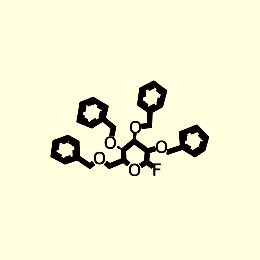 FC1OC(COCc2ccccc2)[C@H](OCc2ccccc2)[C@@H](OCc2ccccc2)C1OCc1ccccc1